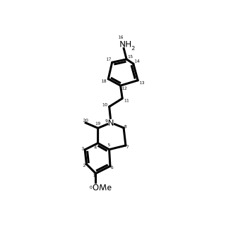 COc1ccc2c(c1)CCN(CCc1ccc(N)cc1)C2C